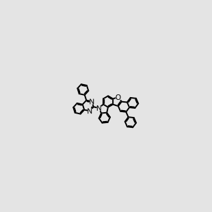 c1ccc(-c2nc(-n3c4ccccc4c4c5c(ccc43)oc3c4ccccc4c(-c4ccccc4)cc35)nc3ccccc23)cc1